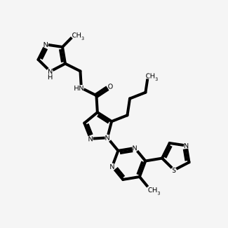 CCCCc1c(C(=O)NCc2[nH]cnc2C)cnn1-c1ncc(C)c(-c2cncs2)n1